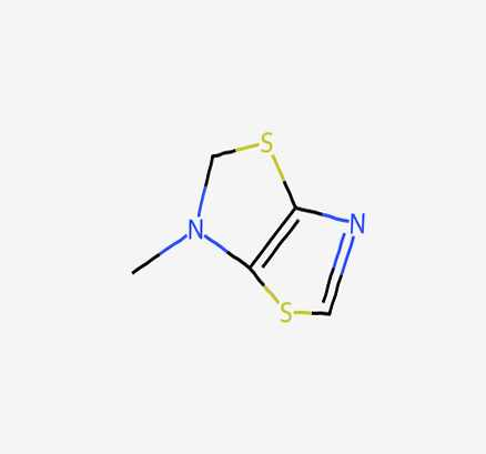 CN1CSc2ncsc21